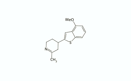 COc1cccc2sc(C3CCN=C(C)C3)cc12